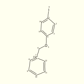 Ic1ccc(OC[13c]2ccccc2)cc1